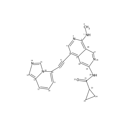 CNc1ncc(C#Cc2cccc3cncn23)c2cc(NC(=O)C3CC3)ncc12